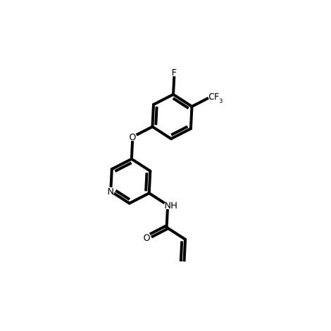 C=CC(=O)Nc1cncc(Oc2ccc(C(F)(F)F)c(F)c2)c1